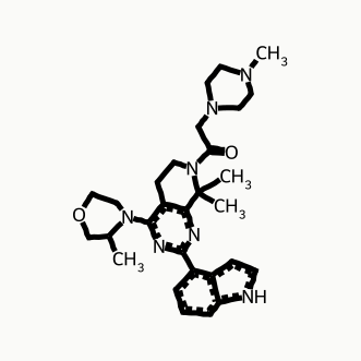 CC1COCCN1c1nc(-c2cccc3[nH]ccc23)nc2c1CCN(C(=O)CN1CCN(C)CC1)C2(C)C